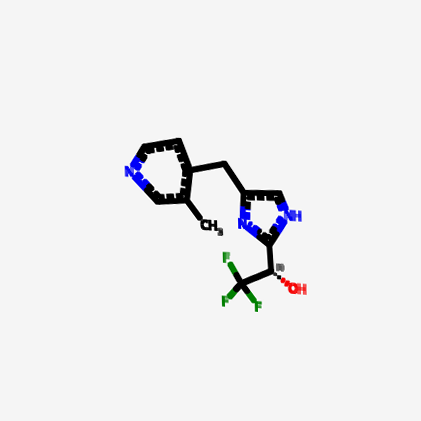 Cc1cnccc1Cc1c[nH]c([C@H](O)C(F)(F)F)n1